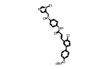 CCCCOc1ccc(-c2ccc(Cl)c(/C=C/C(=O)Nc3ccc([S+]([O-])Cc4cncn4CC)cc3)c2)cc1